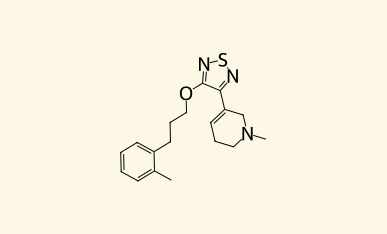 Cc1ccccc1CCCOc1nsnc1C1=CCCN(C)C1